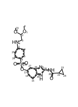 COC(CNc1ccc(S(=O)(=O)Oc2ccc3[nH]c(NC(=O)C4CC4)nc3c2)cc1)OC